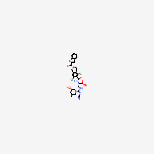 CC1C[C@@H](O)CN(/C(=N\C#N)NC[C@H](NC(=O)c2c(Cl)cc3c(c2Cl)CCN(C(=O)c2cc4ccccc4o2)C3)C(=O)O)C1